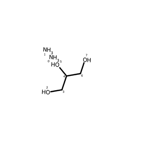 N.N.OCC(O)CO